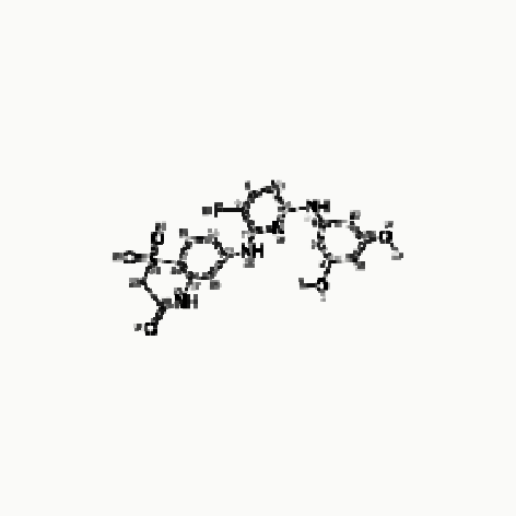 COc1cc(Nc2ncc(F)c(Nc3ccc4c(c3)NC(=O)CS4(=O)=O)n2)cc(OC)c1